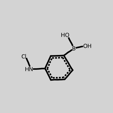 OB(O)c1cccc(NCl)c1